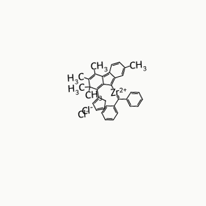 CC1=C(C)C(C)(C)C(C2=CC=CC2)=C2[C]([Zr+2]=[C](c3ccccc3)c3ccccc3)=c3cc(C)ccc3=C12.[Cl-].[Cl-]